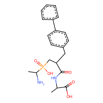 CC(NC(=O)C(Cc1ccc(-c2ccccc2)cc1)CP(=O)(O)C(C)N)C(=O)O